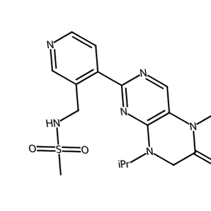 CC(C)N1CC(=O)N(C)c2cnc(-c3ccncc3CNS(C)(=O)=O)nc21